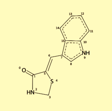 O=C1NCSC1=Cc1c[nH]c2ccccc12